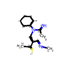 C/N=C/C(=C\N(C(C)=N)C1CCCCC1)C(C)=S